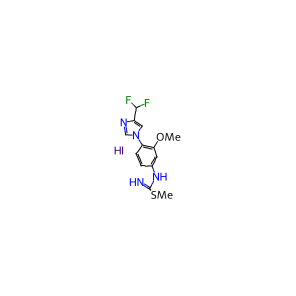 COc1cc(NC(=N)SC)ccc1-n1cnc(C(F)F)c1.I